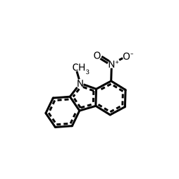 Cn1c2ccccc2c2cccc([N+](=O)[O-])c21